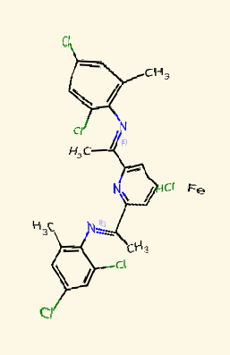 C/C(=N\c1c(C)cc(Cl)cc1Cl)c1cccc(/C(C)=N/c2c(C)cc(Cl)cc2Cl)n1.Cl.[Fe]